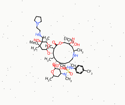 CC[C@H]1OC(=O)[C@H](C)[C@@H](O[C@H]2C[C@@](C)(OC)[C@](O)(CNCCN3CCCC3)[C@H](C)O2)[C@H](C)[C@@H](O[C@@H]2O[C@H](C)C[C@H](N(C)S(=O)(=O)Nc3ccc(C(F)(F)F)cc3)[C@H]2O)[C@](C)(O)C[C@@H](C)CN[C@H](C)[C@@H](O)[C@]1(C)O